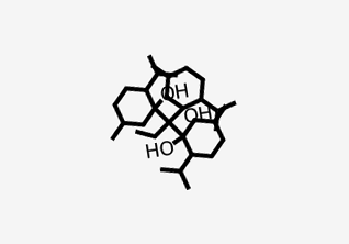 CCC(C1(O)CC(C)CCC1C(C)C)(C1(O)CC(C)CCC1C(C)C)C1(O)CC(C)CCC1C(C)C